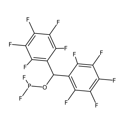 Fc1c(F)c(F)c(C(OP(F)F)c2c(F)c(F)c(F)c(F)c2F)c(F)c1F